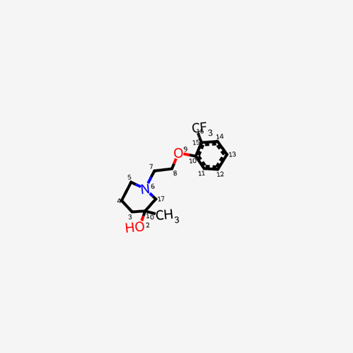 CC1(O)CCCN(CCOc2ccccc2C(F)(F)F)C1